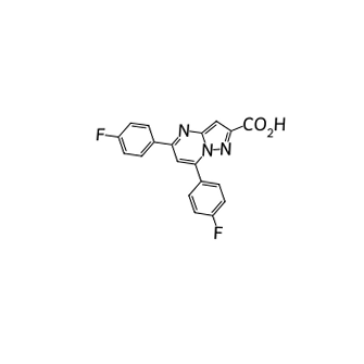 O=C(O)c1cc2nc(-c3ccc(F)cc3)cc(-c3ccc(F)cc3)n2n1